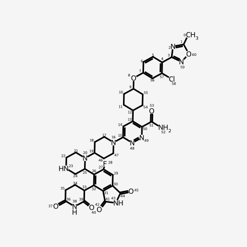 Cc1nc(-c2ccc(OC3CCC(c4cc(N5CCC(N6CCNCC6c6c(F)cc7c(c6C6CCC(=O)NC6=O)C(=O)NC7=O)CC5)nnc4C(N)=O)CC3)cc2Cl)no1